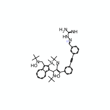 CC(C)(C)N(O)Cc1c2cccccc-2c(C2C(C#N)=C(c3cccc(C#Cc4cccc(/C=N/NC(=N)N)c4)c3)ON2C(C)(C)C)c1[Si](C)(C)C(C)(C)C